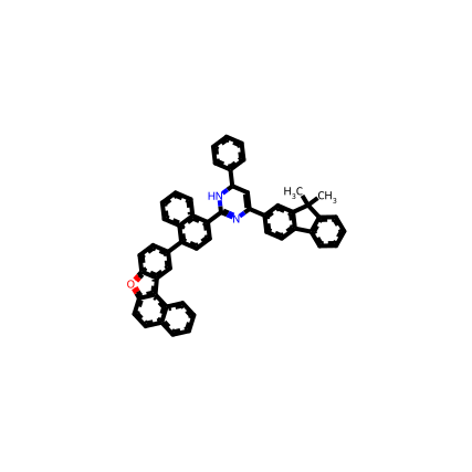 CC1(C)c2ccccc2-c2ccc(C3=CC(c4ccccc4)NC(c4ccc(-c5ccc6oc7ccc8ccccc8c7c6c5)c5ccccc45)=N3)cc21